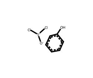 Oc1ccccc1.[O-][S+](Cl)Cl